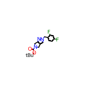 CC(C)(C)OC(=O)N1Cc2cn(Cc3ccc(F)cc3F)nc2C1